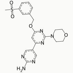 CS(=O)(=O)c1cccc(COc2cc(-c3cnc(N)nc3)nc(N3CCOCC3)n2)c1